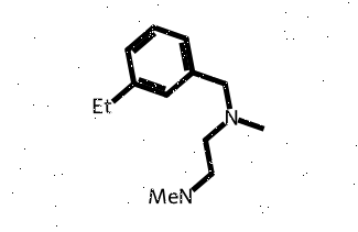 CCc1cccc(CN(C)CCNC)c1